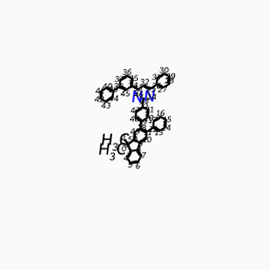 CC1(C)c2ccccc2-c2cc(-c3ccccc3)c(-c3ccc(-c4nc(-c5ccccc5)cc(-c5cccc(-c6ccccc6)c5)n4)cc3)cc21